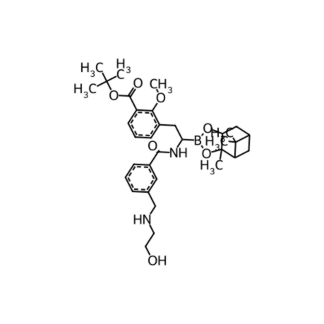 COc1c(CC(NC(=O)c2cccc(CNCCO)c2)B2OC3CC4CC(C4(C)C)C3(C)O2)cccc1C(=O)OC(C)(C)C